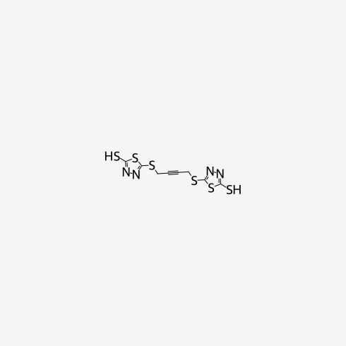 Sc1nnc(SCC#CCSc2nnc(S)s2)s1